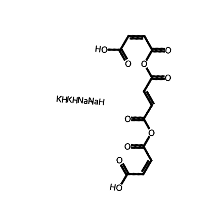 O=C(O)/C=C\C(=O)OC(=O)/C=C/C(=O)OC(=O)/C=C\C(=O)O.[KH].[KH].[NaH].[NaH]